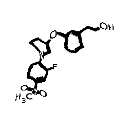 CS(=O)(=O)c1ccc(N2CCC(Oc3cccc(CCO)c3)C2)c(F)c1